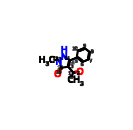 CC(=O)c1c(-c2ccccc2)[nH]n(C)c1=O